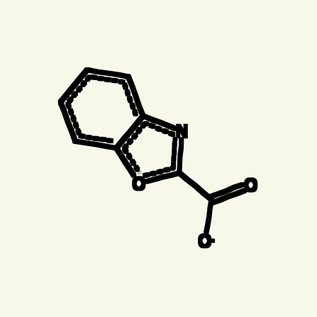 [O]C(=O)c1nc2ccccc2o1